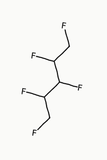 FCC(F)C(F)C(F)CF